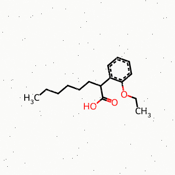 CCCCCCC(C(=O)O)c1ccccc1OCC